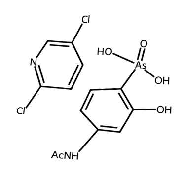 CC(=O)Nc1ccc([As](=O)(O)O)c(O)c1.Clc1ccc(Cl)nc1